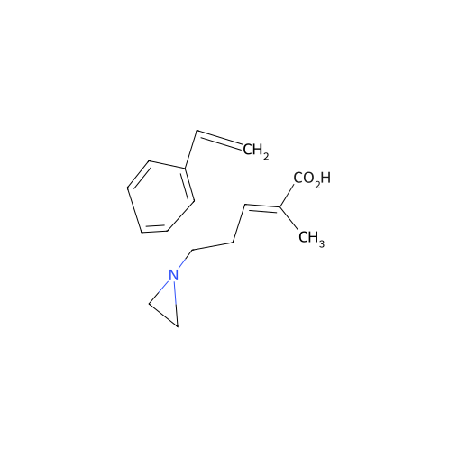 C=Cc1ccccc1.CC(=CCCN1CC1)C(=O)O